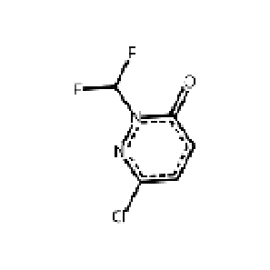 O=c1ccc(Cl)nn1C(F)F